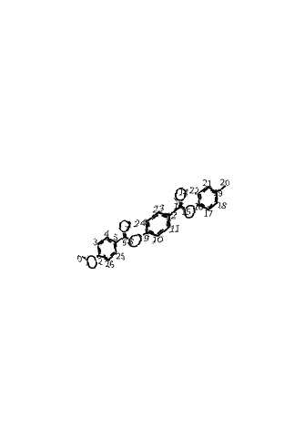 COc1ccc(C(=O)Oc2ccc(C(=O)Oc3ccc(C)cc3)cc2)cc1